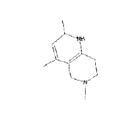 CC1=CC(C)NC2=C1CN(C)CC2